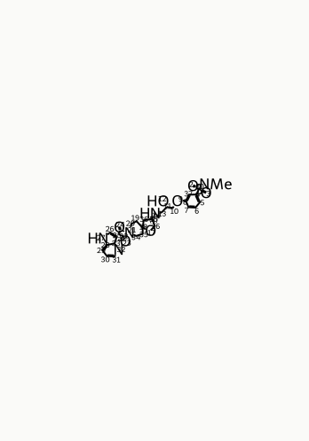 CNS(=O)(=O)c1cccc(OCC(O)CN[C@H]2COC3(CCN(S(=O)(=O)c4c[nH]c5cccnc45)CC3)C2)c1